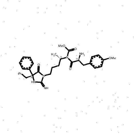 COC(=O)N(C(=O)[C@@H](N)Cc1ccc(OC)cc1)[C@@H](C)CCCN1C(=N)N[C@](CC(C)C)(c2ccccc2)C1=O